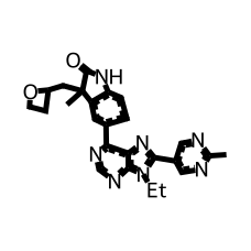 CCn1c(-c2cnc(C)nc2)nc2c(-c3ccc4c(c3)C(C)(CC3CCO3)C(=O)N4)ncnc21